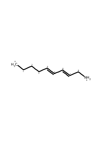 CCCC/C=C/C=C/CN